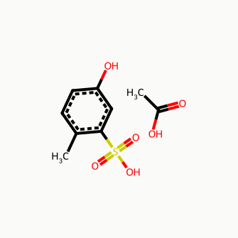 CC(=O)O.Cc1ccc(O)cc1S(=O)(=O)O